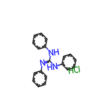 Cl.c1ccc(N=C(Nc2ccccc2)Nc2ccccc2)cc1